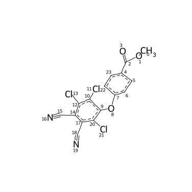 COC(=O)c1ccc(Oc2c(Cl)c(Cl)c(C#N)c(C#N)c2Cl)cc1